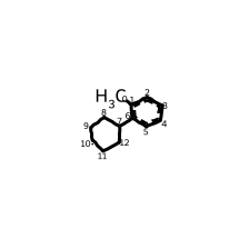 Cc1ccccc1C1CC[CH]CC1